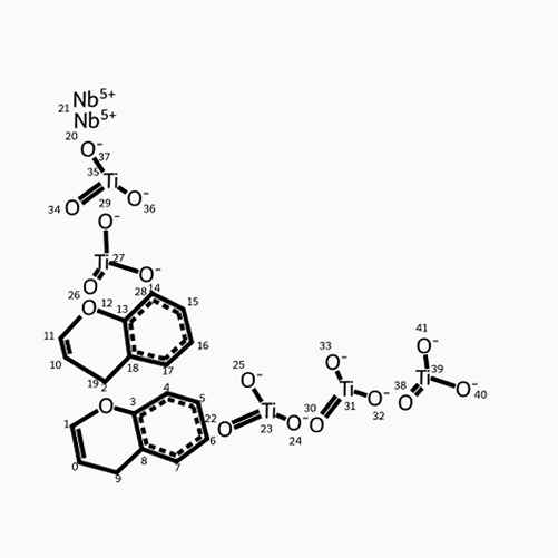 C1=COc2ccccc2C1.C1=COc2ccccc2C1.[Nb+5].[Nb+5].[O]=[Ti]([O-])[O-].[O]=[Ti]([O-])[O-].[O]=[Ti]([O-])[O-].[O]=[Ti]([O-])[O-].[O]=[Ti]([O-])[O-]